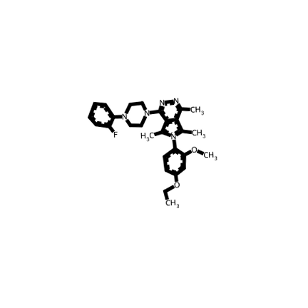 CCOc1ccc(-n2c(C)c3c(C)nnc(N4CCN(c5ccccc5F)CC4)c3c2C)c(OC)c1